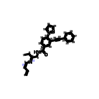 C=C/C=C\N=C(/CC)CNC(=O)c1ccc(-n2cccn2)c(C#Cc2ccccc2)c1